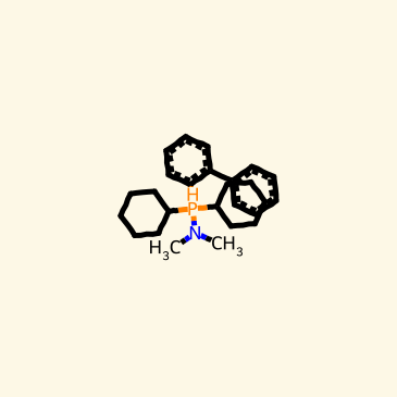 CN(C)[PH](c1ccccc1-c1ccccc1)(C1CCCCC1)C1CCCCC1